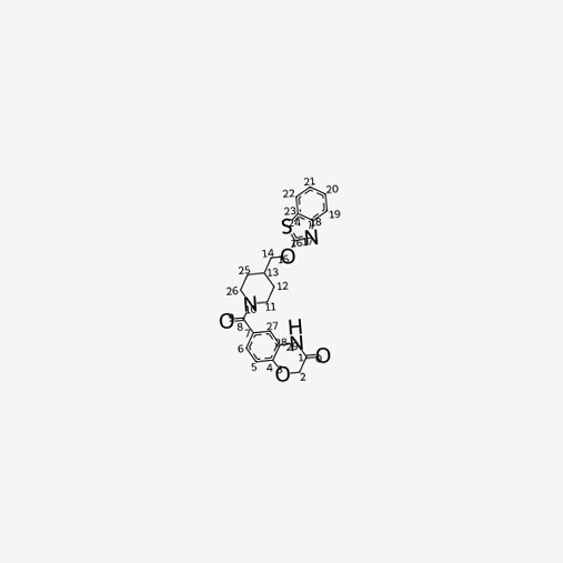 O=C1COc2ccc(C(=O)N3CCC(COc4nc5ccccc5s4)CC3)cc2N1